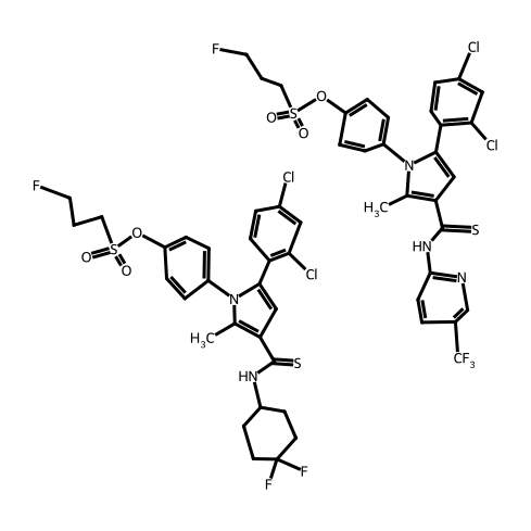 Cc1c(C(=S)NC2CCC(F)(F)CC2)cc(-c2ccc(Cl)cc2Cl)n1-c1ccc(OS(=O)(=O)CCCF)cc1.Cc1c(C(=S)Nc2ccc(C(F)(F)F)cn2)cc(-c2ccc(Cl)cc2Cl)n1-c1ccc(OS(=O)(=O)CCCF)cc1